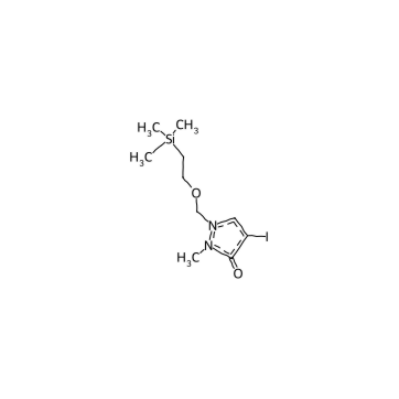 Cn1c(=O)c(I)cn1COCC[Si](C)(C)C